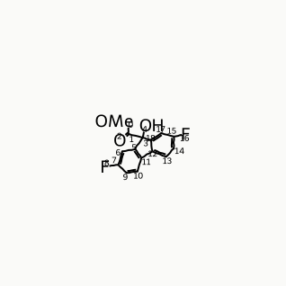 COC(=O)C1(O)c2cc(F)ccc2-c2ccc(F)cc21